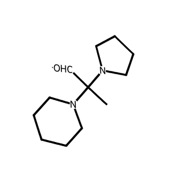 CC([C]=O)(N1CCCCC1)N1CCCC1